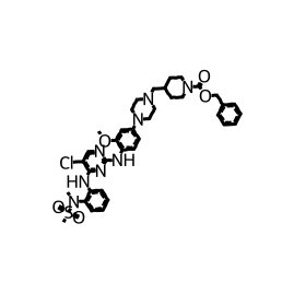 COc1cc(N2CCN(CC3CCN(C(=O)OCc4ccccc4)CC3)CC2)ccc1Nc1ncc(Cl)c(Nc2ccccc2N(C)S(C)(=O)=O)n1